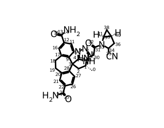 C[C@H](CC1(c2nnn[nH]2)c2ccc(C(N)=O)cc2CCc2cc(C(N)=O)ccc21)NCC(=O)N1C(C#N)C[C@@H]2C[C@@H]21